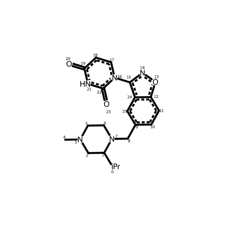 CC(C)C1CN(C)CCN1Cc1ccc2onc(-n3ccc(=O)[nH]c3=O)c2c1